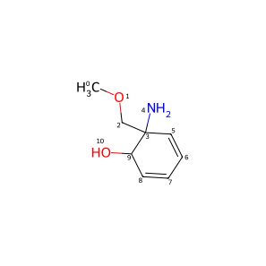 COCC1(N)C=CC=CC1O